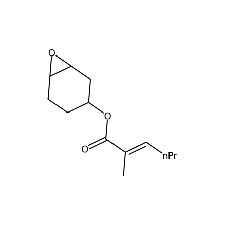 CCCC=C(C)C(=O)OC1CCC2OC2C1